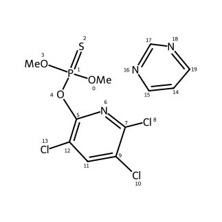 COP(=S)(OC)Oc1nc(Cl)c(Cl)cc1Cl.c1cncnc1